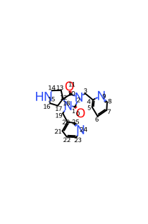 O=C1N(Cc2ccccn2)C(=O)C2(CCNCC2)N1Cc1cccnc1